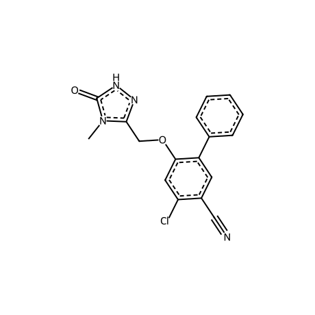 Cn1c(COc2cc(Cl)c(C#N)cc2-c2ccccc2)n[nH]c1=O